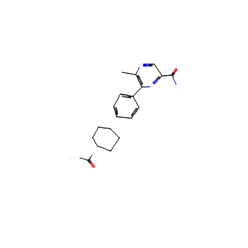 COC(=O)[C@H]1CC[C@H](c2ccc(-c3nc(C(N)=O)cnc3C)cc2)CC1